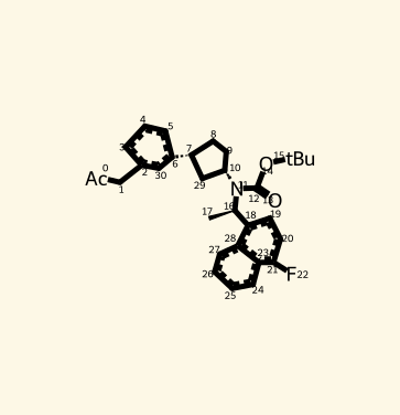 CC(=O)Cc1cccc([C@@H]2CC[C@H](N(C(=O)OC(C)(C)C)[C@H](C)c3ccc(F)c4ccccc34)C2)c1